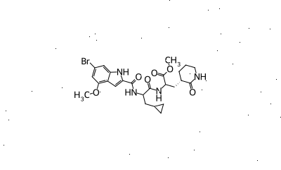 COC(=O)C(C[C@@H]1CCCNC1=O)NC(=O)C(CC1CC1)NC(=O)c1cc2c(OC)cc(Br)cc2[nH]1